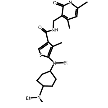 CCN(C)C1CCC(N(CC)c2scc(C(=O)NCc3c(C)cc(C)[nH]c3=O)c2C)CC1